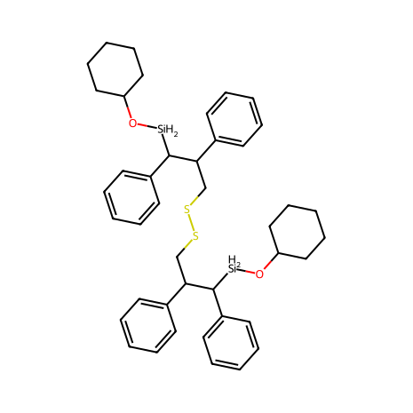 c1ccc(C(CSSCC(c2ccccc2)C([SiH2]OC2CCCCC2)c2ccccc2)C([SiH2]OC2CCCCC2)c2ccccc2)cc1